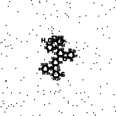 CC1(C)c2ccccc2N(c2cc(-c3ccc(N(c4ccccc4)c4cccc(F)c4)cc3)c3oc4ccccc4c3c2)c2ccccc21